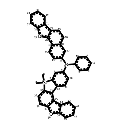 C[Si]1(C)c2cc(N(c3ccccc3)c3ccc4c(ccc5c6ccccc6oc45)c3)ccc2-c2c1ccc1oc3ccccc3c21